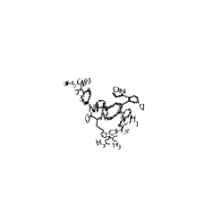 CNC(=O)c1ccc(NC(=O)C(CCOC(C)(C)C)n2cc(OC)c(-c3cc(Cl)ccc3-c3ccon3)cc2=O)cn1